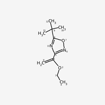 C=C(OCC)c1noc(C(C)(C)C)n1